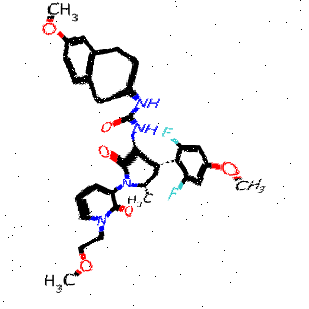 COCCn1cccc(N2C(=O)[C@@H](NC(=O)NC3CCc4cc(OC)ccc4C3)[C@H](c3c(F)cc(OC)cc3F)[C@@H]2C)c1=O